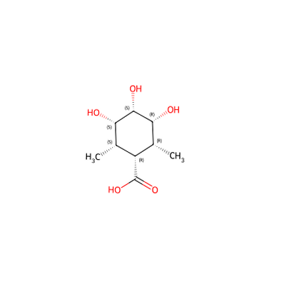 C[C@@H]1[C@H](O)[C@H](O)[C@H](O)[C@H](C)[C@@H]1C(=O)O